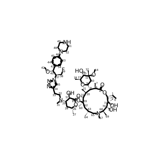 CC[C@H]1OC(=O)[C@H](C)[C@@H](C2C[C@@](C)(OC)[C@@H](O)[C@H](C)O2)[C@H](C)[C@@H](O[C@@H]2O[C@H](C)C[C@H](N(C)CCc3cn([C@H](CF)[C@H](OC)c4ccc(N5CCNCC5)cc4)nn3)[C@H]2O)[C@](C)(O)C[C@@H](C)CN(C)[C@H](C)[C@@H](O)[C@]1(C)O